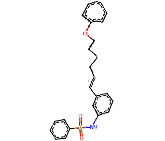 O=S(=O)(Nc1cccc(/C=C/CCCCOc2[c]cccc2)c1)c1ccccc1